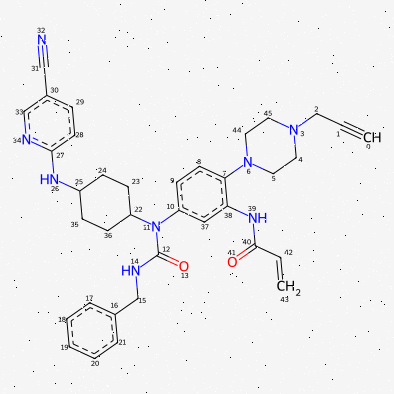 C#CCN1CCN(c2ccc(N(C(=O)NCc3ccccc3)C3CCC(Nc4ccc(C#N)cn4)CC3)cc2NC(=O)C=C)CC1